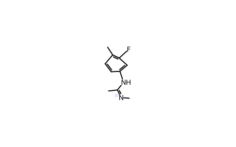 C/N=C(/C)Nc1ccc(C)c(F)c1